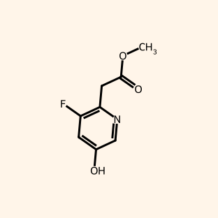 COC(=O)Cc1ncc(O)cc1F